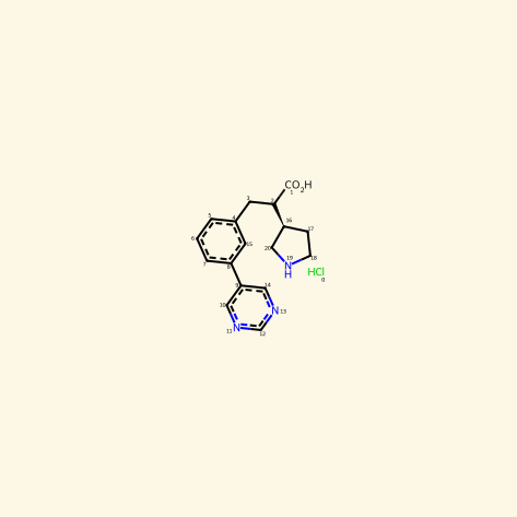 Cl.O=C(O)C(Cc1cccc(-c2cncnc2)c1)[C@H]1CCNC1